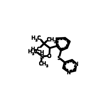 C[SiH](C)OC(c1ccccc1Sc1cncnc1)C(C)(C)C